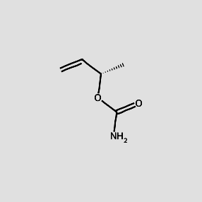 C=C[C@H](C)OC(N)=O